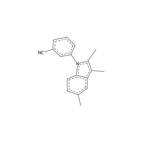 Cc1ccc2c(c1)c(C)c(C)n2-c1cccc(C#N)c1